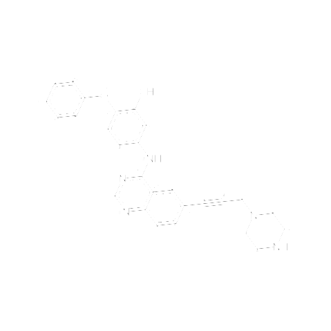 Cc1cc(Nc2ncnc3ccc(C#CCN4CCNCC4)cc23)ccc1Oc1ccccc1